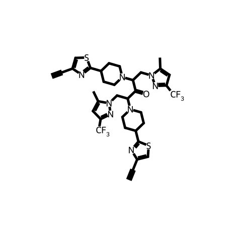 C#Cc1csc(C2CCN(C(Cn3nc(C(F)(F)F)cc3C)C(=O)C(Cn3nc(C(F)(F)F)cc3C)N3CCC(c4nc(C#C)cs4)CC3)CC2)n1